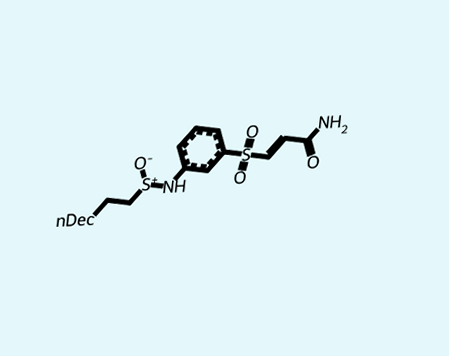 CCCCCCCCCCCC[S+]([O-])Nc1cccc(S(=O)(=O)C=CC(N)=O)c1